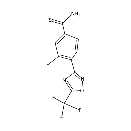 NC(=S)c1ccc(-c2noc(C(F)(F)F)n2)c(F)c1